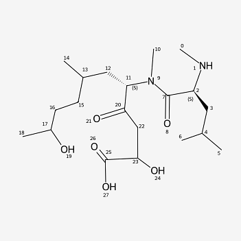 CN[C@@H](CC(C)C)C(=O)N(C)[C@@H](CC(C)CCC(C)O)C(=O)CC(O)C(=O)O